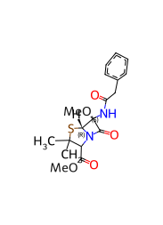 COC(=O)C1N2C(=O)[C@](NC(=O)Cc3ccccc3)(OC)[C@H]2SC1(C)C